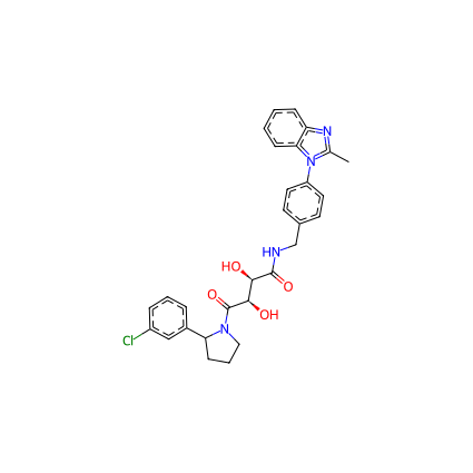 Cc1nc2ccccc2n1-c1ccc(CNC(=O)[C@H](O)[C@@H](O)C(=O)N2CCCC2c2cccc(Cl)c2)cc1